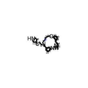 C1=C/CN(CCOC2CCNCC2)Cc2cccc(c2)Nc2nccc(n2)-c2cccc(c2)OCC/1